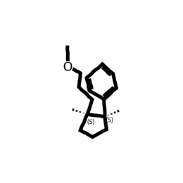 COCCC[C@]1(C)CCC[C@]1(C)c1ccccc1